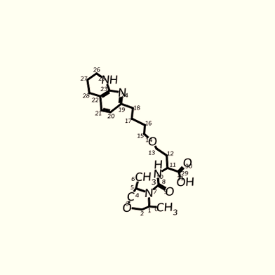 CC1COCC(C)N1C(=O)NC(CCOCCCCc1ccc2c(n1)NCCC2)C(=O)O